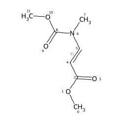 COC(=O)/C=C/N(C)C(=O)OC